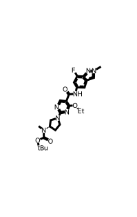 CCOc1nc(N2CC[C@H](N(C)C(=O)OC(C)(C)C)C2)ncc1C(=O)Nc1cc(F)c2nn(C)cc2c1